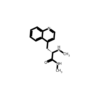 CNC(=O)[C@H](Cc1ccnc2ccccc12)NC